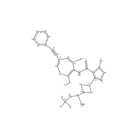 CCC1=C(NC(=O)c2c(Cl)cnn2C2CN(C(O)OC(C)(C)C)C2)C(F)=CC(C#Cc2ccccc2)=CC1